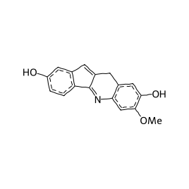 COc1cc2c(cc1O)CC1=Cc3cc(O)ccc3C1=N2